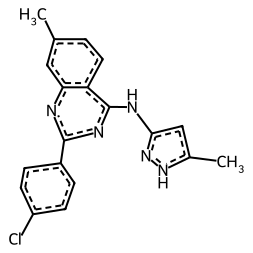 Cc1ccc2c(Nc3cc(C)[nH]n3)nc(-c3ccc(Cl)cc3)nc2c1